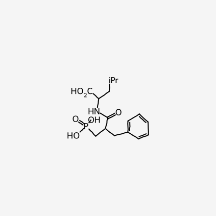 CC(C)CC(NC(=O)C(Cc1ccccc1)CP(=O)(O)O)C(=O)O